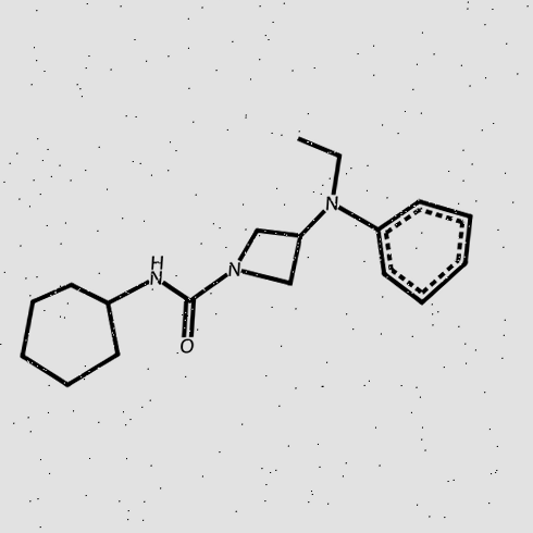 CCN(c1ccccc1)C1CN(C(=O)NC2CCCCC2)C1